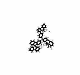 CC1(C)c2ccccc2-c2ccc(N(c3ccc(-c4cccc5c4C(C)(C)c4ccccc4-5)cc3)c3ccc4c(c3)-c3ccccc3C4(c3ccccc3)c3ccccc3)cc21